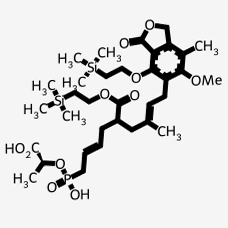 COc1c(C)c2c(c(OCC[Si](C)(C)C)c1C/C=C(\C)CC(C/C=C/CP(=O)(O)O[C@@H](C)C(=O)O)C(=O)OCC[Si](C)(C)C)C(=O)OC2